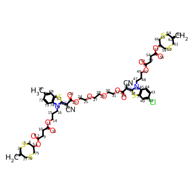 C=C1CSCC(OC(=O)CCC(=O)OCCCN2/C(=C(\C#N)C(=O)OCCOCCOCCOC(=O)/C(C#N)=C3\Sc4cc(Cl)ccc4N3CCCOC(=O)CCC(=O)OC3CSCC(=C)CSC3)Sc3cc(C)ccc32)CSC1